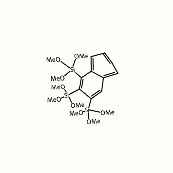 CO[Si](OC)(OC)c1cc2ccccc2c([Si](OC)(OC)OC)c1[Si](OC)(OC)OC